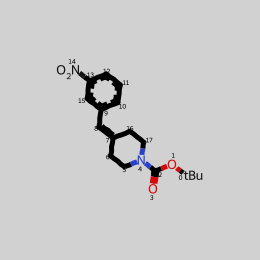 CC(C)(C)OC(=O)N1CCC(=Cc2cccc([N+](=O)[O-])c2)CC1